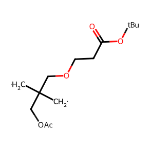 [CH2]C([CH2])(COCCC(=O)OC(C)(C)C)COC(C)=O